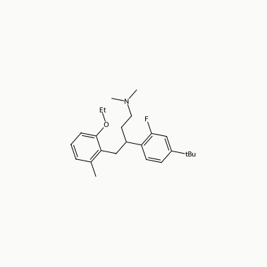 CCOc1cccc(C)c1CC(CCN(C)C)c1ccc(C(C)(C)C)cc1F